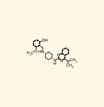 COc1cccc(O)c1CN[C@H]1CC[C@@H](Nc2nc(N(C)C)c3ccccc3n2)CC1